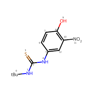 CC(C)(C)NC(=S)Nc1ccc(O)c([N+](=O)[O-])c1